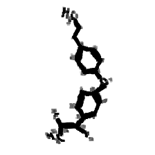 CCCc1ccc(Oc2ccc(C(F)=C(C)F)cc2)cc1